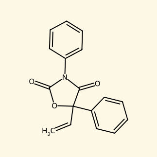 C=CC1(c2ccccc2)OC(=O)N(c2ccccc2)C1=O